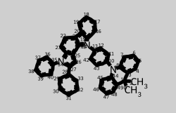 CC1(C)c2ccccc2N(c2ccc(-n3c4ccccc4c4ccc5c(cc(-c6ccccc6)n5-c5ccccc5)c43)cc2)c2ccccc21